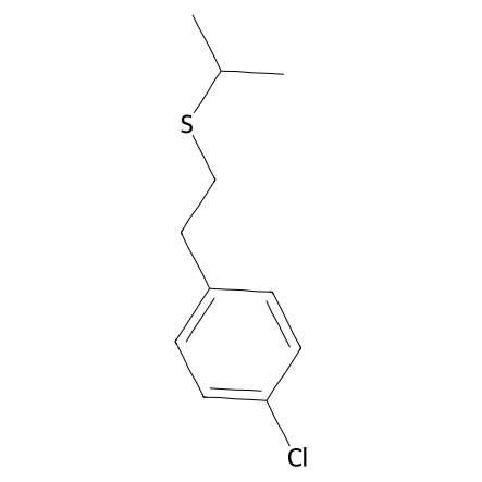 CC(C)SCCc1ccc(Cl)cc1